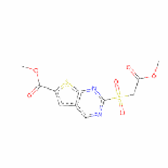 COC(=O)CS(=O)(=O)c1ncc2cc(C(=O)OC)sc2n1